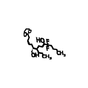 CCCCC(F)(F)C(O)CC[C@@H](CCC)[C@H](CO)C/C=C\CC1OCCCO1